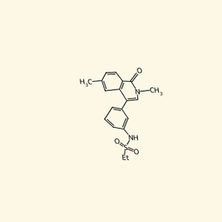 CCS(=O)(=O)Nc1cccc(-c2cn(C)c(=O)c3ccc(C)cc23)c1